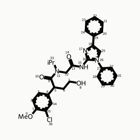 COc1ccc(C(CCO)C(=O)N(CC(=O)Nc2nc(-c3ccccc3)cn2-c2ccccc2)C(C)C)cc1Cl